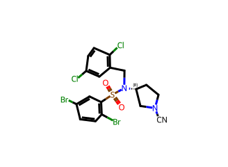 N#CN1CC[C@@H](N(Cc2cc(Cl)ccc2Cl)S(=O)(=O)c2cc(Br)ccc2Br)C1